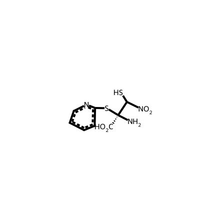 N[C@](Sc1ccccn1)(C(=O)O)C(S)[N+](=O)[O-]